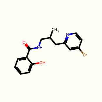 CC(CNC(=O)c1ccccc1O)Cc1cc(Br)ccn1